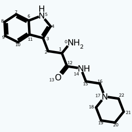 NC(Cc1c[nH]c2ccccc12)C(=O)NCCN1CCCCC1